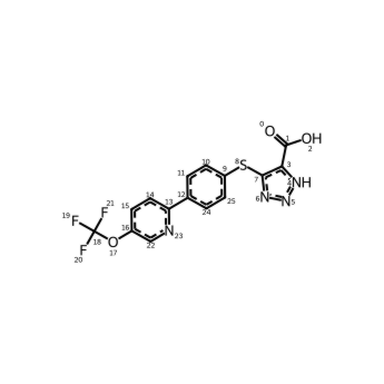 O=C(O)c1[nH]nnc1Sc1ccc(-c2ccc(OC(F)(F)F)cn2)cc1